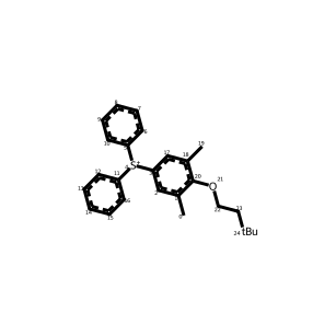 Cc1cc([S+](c2ccccc2)c2ccccc2)cc(C)c1OCCC(C)(C)C